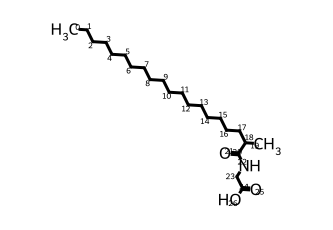 CCCCCCCCCCCCCCCCCCC(C)C(=O)NCC(=O)O